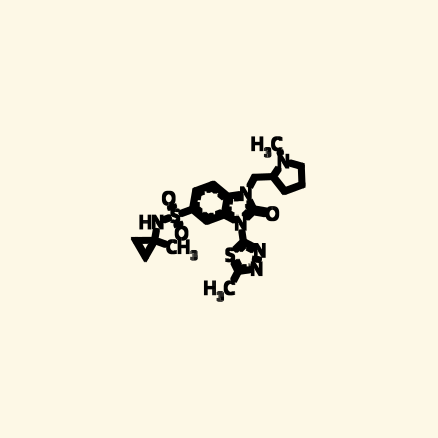 Cc1nnc(-n2c(=O)n(CC3CCCN3C)c3ccc(S(=O)(=O)NC4(C)CC4)cc32)s1